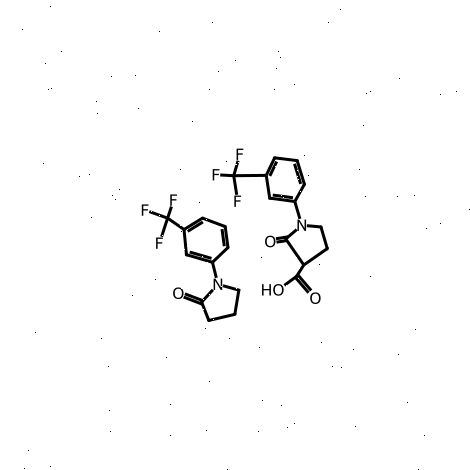 O=C(O)C1CCN(c2cccc(C(F)(F)F)c2)C1=O.O=C1CCCN1c1cccc(C(F)(F)F)c1